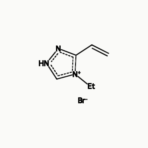 C=Cc1n[nH]c[n+]1CC.[Br-]